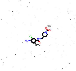 CCCCOC(=O)N1CCC(CNC(=O)c2cc(Cl)c(N)cc2OC)CC1